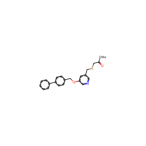 COC(=O)CSCc1cncc(OCc2ccc(-c3ccccc3)cc2)c1